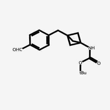 CC(C)(C)OC(=O)NC12CC(Cc3ccc(C=O)cc3)(C1)C2